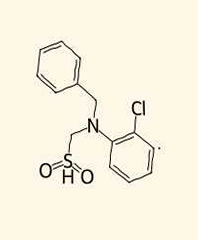 O=[SH](=O)CN(Cc1ccccc1)c1ccc[c]c1Cl